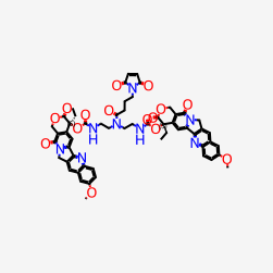 CC[C@@]1(OC(=O)NCCN(CCNC(=O)O[C@]2(CC)C(=O)OCc3c2cc2n(c3=O)Cc3cc4cc(OC)ccc4nc3-2)C(=O)CCCN2C(=O)C=CC2=O)C(=O)OCc2c1cc1n(c2=O)Cc2cc3cc(OC)ccc3nc2-1